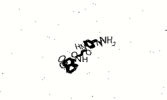 NN=Cc1ccc(NC(=O)CCC(=O)NC2CC(=O)Oc3ccccc32)cc1